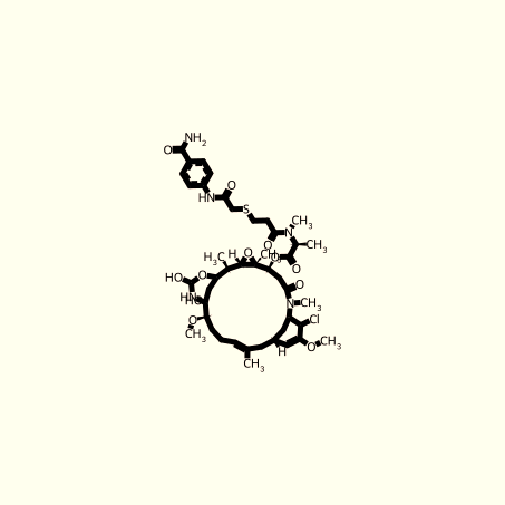 COC1=C[C@@H]2C/C(C)=C/CC[C@@H](OC)[C@@]3(O)CC(OC(O)N3)[C@@H](C)[C@@H]3O[C@@]3(C)[C@@H](OC(=O)[C@H](C)N(C)C(=O)CCSCC(=O)Nc3ccc(C(N)=O)cc3)CC(=O)N(C)C(C2)C1Cl